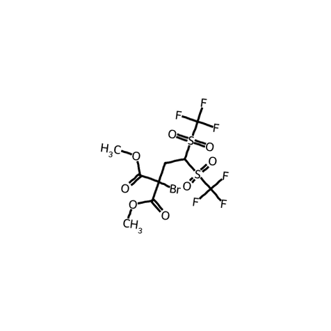 COC(=O)C(Br)(CC(S(=O)(=O)C(F)(F)F)S(=O)(=O)C(F)(F)F)C(=O)OC